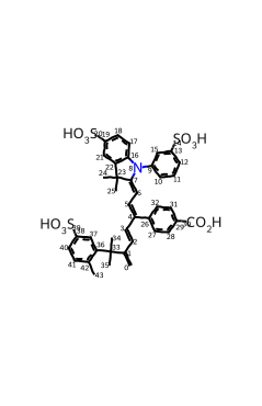 C=C(/C=C/C(=C/C=C1/N(c2cccc(S(=O)(=O)O)c2)c2ccc(S(=O)(=O)O)cc2C1(C)C)c1ccc(C(=O)O)cc1)C(C)(C)c1cc(S(=O)(=O)O)ccc1C